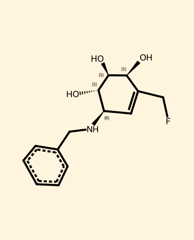 O[C@@H]1[C@@H](O)[C@@H](O)C(CF)=C[C@H]1NCc1ccccc1